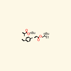 C=C(C)C(=O)OCCCC.C=CC(=O)OCC(CC)CCCC.C=Cc1ccc(C)cc1